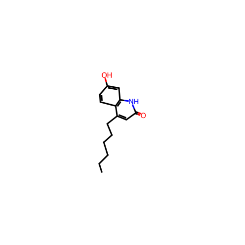 CCCCCCc1cc(=O)[nH]c2cc(O)ccc12